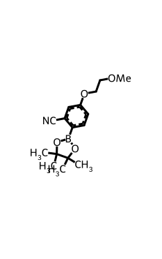 COCCOc1ccc(B2OC(C)(C)C(C)(C)O2)c(C#N)c1